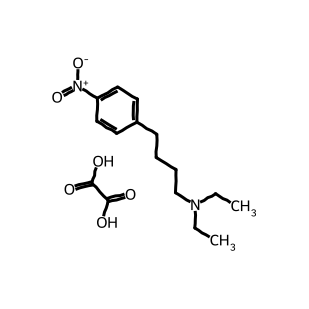 CCN(CC)CCCCc1ccc([N+](=O)[O-])cc1.O=C(O)C(=O)O